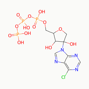 O=P(O)(O)OP(=O)(O)OP(=O)(O)OCC1OCC(O)(n2cnc3c(Cl)ncnc32)C1O